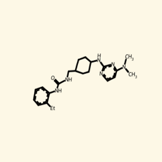 CCc1ccccc1NC(=O)NCC1CCC(Nc2nccc(N(C)C)n2)CC1